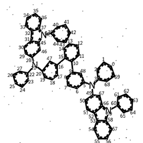 c1ccc(N(c2cccc(-c3ccccc3-c3cccc(N(c4ccccc4)c4ccc5c6ccccc6n(-c6ccccc6)c5c4)c3)c2)c2ccc3c4ccccc4n(-c4ccccc4)c3c2)cc1